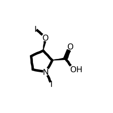 O=C(O)[C@@H]1[C@H](OI)CCN1I